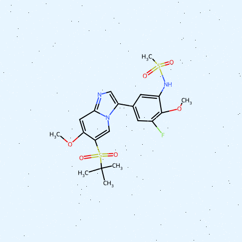 COc1cc2ncc(-c3cc(F)c(OC)c(NS(C)(=O)=O)c3)n2cc1S(=O)(=O)C(C)(C)C